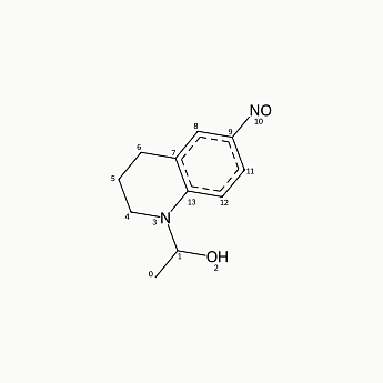 CC(O)N1CCCc2cc(N=O)ccc21